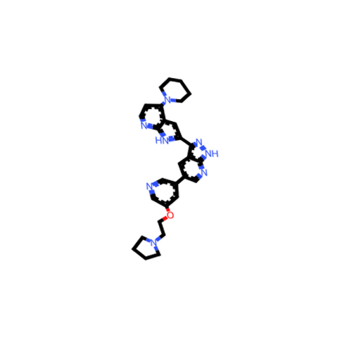 c1cc(N2CCCCC2)c2cc(-c3n[nH]c4ncc(-c5cncc(OCCN6CCCC6)c5)cc34)[nH]c2n1